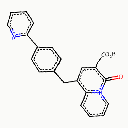 O=C(O)c1cc(Cc2ccc(-c3ccccn3)cc2)c2ccccn2c1=O